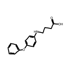 O=C(O)CCCNc1ccc(Oc2ccccc2)cc1